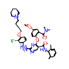 COc1ccc(Oc2nc(Nc3ccc(OCCCN4CCCCC4)c(F)c3)ncc2C(=O)Nc2c(C)cccc2C)c(C(=O)N(C)C)c1